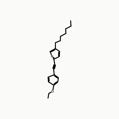 CCCCCCCc1ccc(C#Cc2ccc(OCC)cc2)nc1